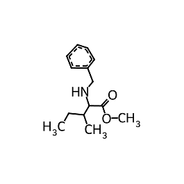 CCC(C)C(NCc1ccccc1)C(=O)OC